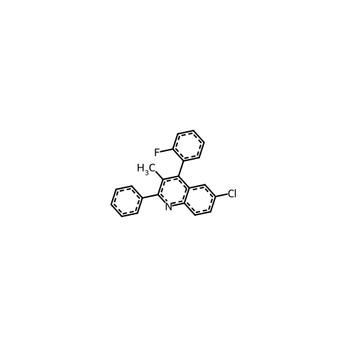 Cc1c(-c2ccccc2)nc2ccc(Cl)cc2c1-c1ccccc1F